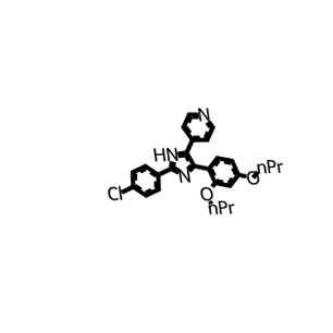 CCCOc1ccc(-c2nc(-c3ccc(Cl)cc3)[nH]c2-c2ccncc2)c(OCCC)c1